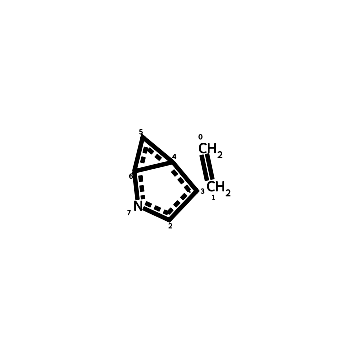 C=C.c1cc2cc-2n1